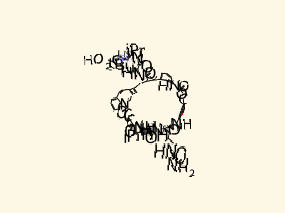 C/C(=C\[C@H](C(C)C)N(C)C(=O)C(NC(=O)C1CC2=CC3=C2C#Cc2ccccc2N(C3)C(=O)CCC(=O)N[C@@H](C(C)C)C(=O)N[C@@H](CCCNC(N)=O)C(=O)Nc2ccc(cc2)COC(=O)Nc2cccc(c2)C1(C)C)C(C)(C)C)C(=O)O